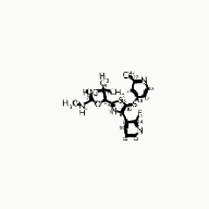 CNC(=O)OC(c1nc(-c2cccnc2F)c(Sc2ccnc(Cl)c2)s1)C(C)(C)C